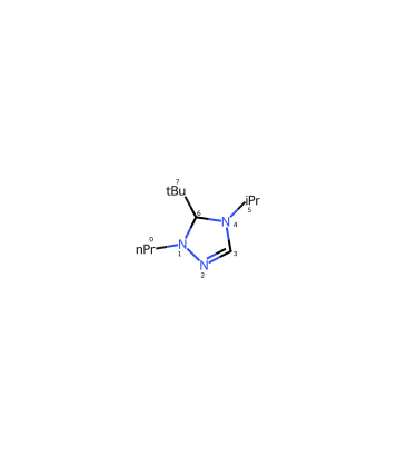 CCCN1N=CN(C(C)C)C1C(C)(C)C